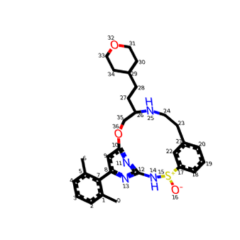 Cc1cccc(C)c1-c1cc2nc(n1)N[S+]([O-])c1cccc(c1)CCNC(CCC1CCOCC1)CO2